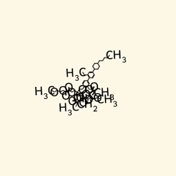 C=C(C)C(=O)OCC(COC(=O)C(=O)OCCOC)(COC(=O)C(=O)OCCOC)COc1ccc(-c2ccc(C3CCC(CCCCC)CC3)cc2CC)cc1OC(=O)C(=C)C